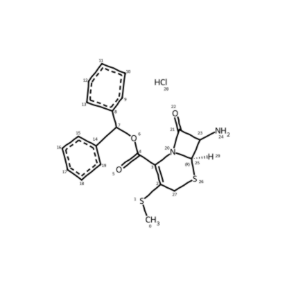 CSC1=C(C(=O)OC(c2ccccc2)c2ccccc2)N2C(=O)C(N)[C@H]2SC1.Cl